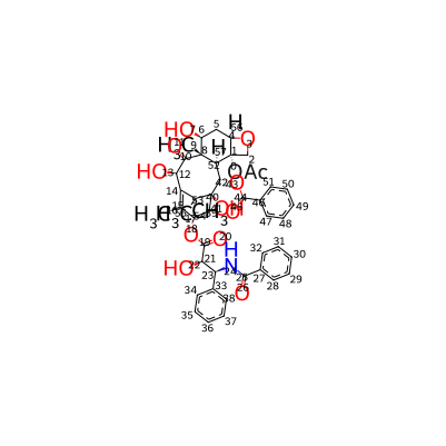 CC(=O)O[C@@]12CO[C@@H]1C[C@H](O)[C@@]1(C)C(=O)[C@H](O)C3=C(C)[C@@H](OC(=O)[C@H](O)[C@@H](NC(=O)c4ccccc4)c4ccccc4)C[C@@](O)([C@@H](OC(=O)c4ccccc4)[C@H]21)C3(C)C